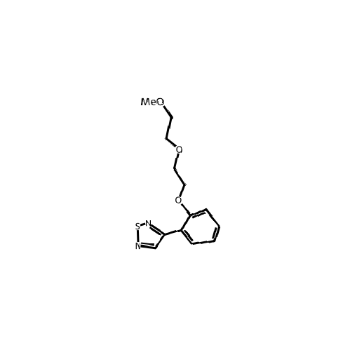 COCCOCCOc1ccccc1-c1cnsn1